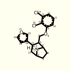 CN1C2CCC1C(COc1cccc(Cl)c1Cl)C(c1ccoc1)C2